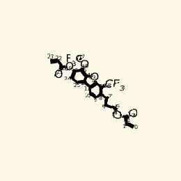 C=CC(=O)OCCCc1ccc2c(oc3c(OC(F)(F)F)c(OC(=O)C=C)ccc32)c1C(F)(F)F